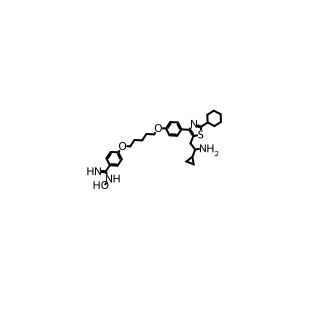 N=C(NO)c1ccc(OCCCCCOc2ccc(-c3nc(C4CCCCC4)sc3CC(N)C3CC3)cc2)cc1